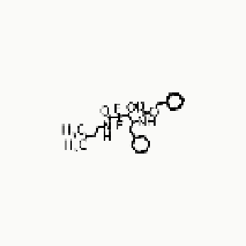 CC(C)CCNC(=O)C(F)(F)C(O)C(CC1CCCCC1)NC(=O)OCc1ccccc1